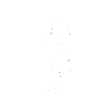 C[C](C)CN1CCN(c2ccccc2O)CC1